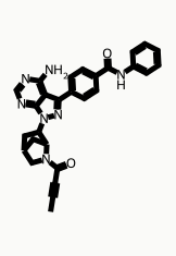 CC#CC(=O)N1CC2CC1C(n1nc(-c3ccc(C(=O)Nc4ccccc4)cc3)c3c(N)ncnc31)C2